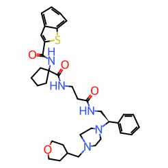 O=C(CCNC(=O)C1(NC(=O)c2cc3ccccc3s2)CCCC1)NC[C@@H](c1ccccc1)N1CCN(CC2CCOCC2)CC1